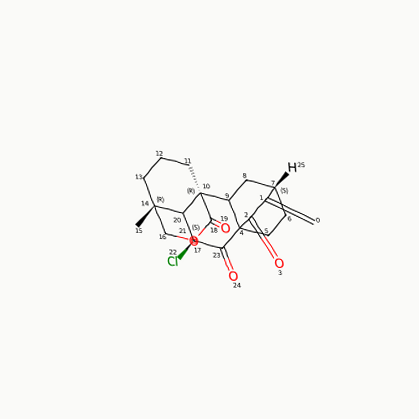 C=C1C(=O)C23CC[C@H]1CC2[C@@]12CCC[C@@](C)(COC1=O)C2[C@H](Cl)C3=O